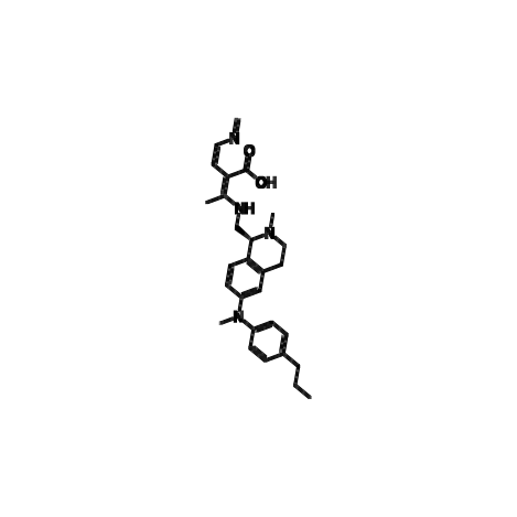 C=N/C=C\C(C(=O)O)=C(/C)NC[C@@H]1c2ccc(N(C)c3ccc(CCC)cc3)cc2CCN1C